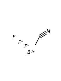 CC#N.[B+3].[F-].[F-].[F-]